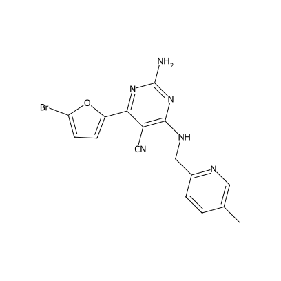 Cc1ccc(CNc2nc(N)nc(-c3ccc(Br)o3)c2C#N)nc1